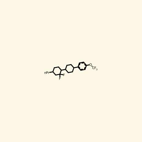 CCCC1CCC(C2CCC(c3ccc(OC(F)(F)F)cc3)CC2)C(F)(F)C1